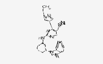 CCn1cc(-c2nc(N[C@@H]3CCC[C@H](n4cnc5cccnc54)C3)ncc2C#N)cn1